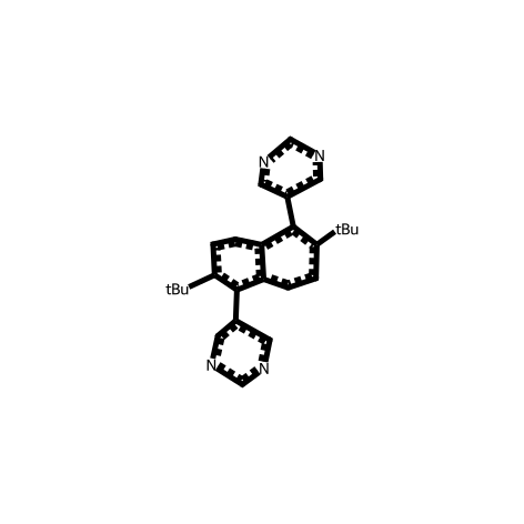 CC(C)(C)c1ccc2c(-c3cncnc3)c(C(C)(C)C)ccc2c1-c1cncnc1